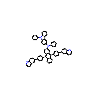 c1ccc(N(c2ccc3c(-c4ccc(-c5ccc6ncccc6c5)cc4)c4ccccc4c(-c4ccc(-c5ccc6ncccc6c5)cc4)c3c2)c2ccc3c(c2)c2ccccc2n3-c2ccccc2)cc1